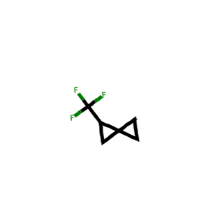 FC(F)(F)C1CC12[CH]C2